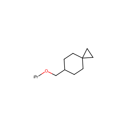 CC(C)OCC1CCC2(CC1)CC2